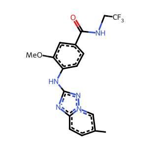 COc1cc(C(=O)NCC(F)(F)F)ccc1Nc1nc2ccc(C)cn2n1